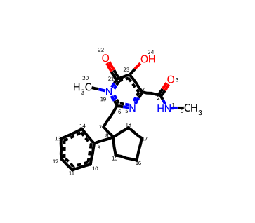 CNC(=O)c1nc(CC2(c3ccccc3)CCCC2)n(C)c(=O)c1O